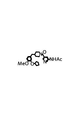 COc1ccc(CC2CCN(C(=O)c3cncc(NC(C)=O)c3)CC2)cc1OC1CCCC1